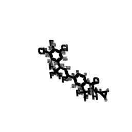 O=C(NC1CC1)c1ccc(C(F)=CC(c2cc(Cl)c(F)c(Cl)c2)C(F)(F)F)cc1C(F)(F)F